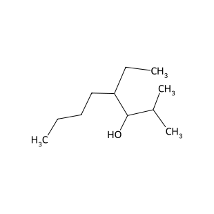 CCCCC(CC)C(O)C(C)C